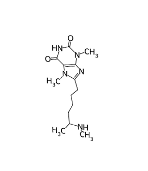 CNC(C)CCCCc1nc2c(c(=O)[nH]c(=O)n2C)n1C